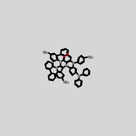 Cc1cc2c3c(c1)N(c1ccc(C(C)(C)C)cc1-c1ccccc1)c1c(c4cc(C(C)(C)C)ccc4n1-c1ccccc1-c1ccccc1)B3c1ccc(N(c3ccccc3)c3ccccc3)cc1N2c1ccc(C(C)(C)C)cc1